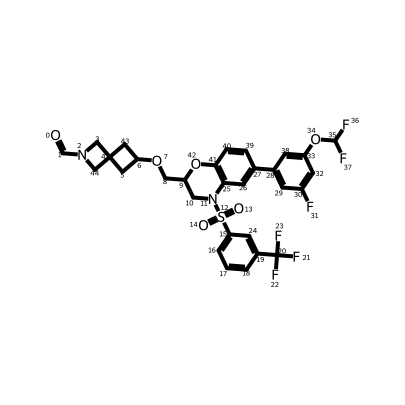 O=CN1CC2(CC(OCC3CN(S(=O)(=O)c4cccc(C(F)(F)F)c4)c4cc(-c5cc(F)cc(OC(F)F)c5)ccc4O3)C2)C1